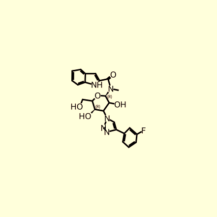 CN(C(=O)c1cc2ccccc2[nH]1)[C@@H]1OC(CO)[C@H](O)C(n2cc(-c3cccc(F)c3)nn2)C1O